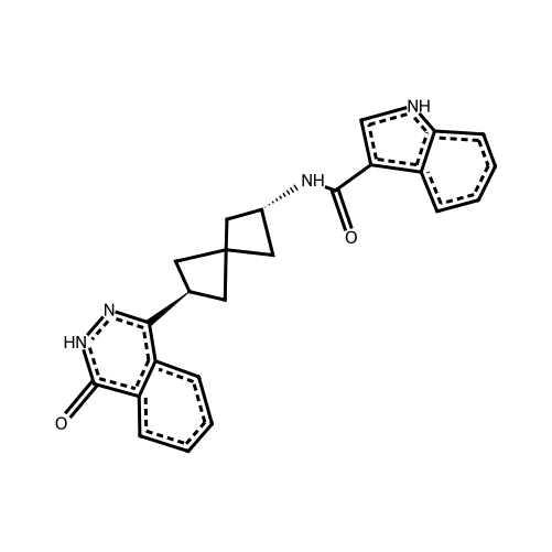 O=C(N[C@H]1CC2(C1)C[C@H](c1n[nH]c(=O)c3ccccc31)C2)c1c[nH]c2ccccc12